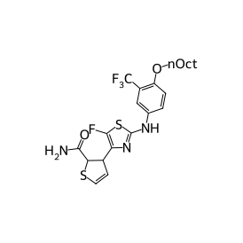 CCCCCCCCOc1ccc(Nc2nc(C3C=CSC3C(N)=O)c(F)s2)cc1C(F)(F)F